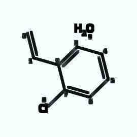 C=Cc1ccccc1Cl.O